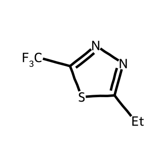 [CH2]Cc1nnc(C(F)(F)F)s1